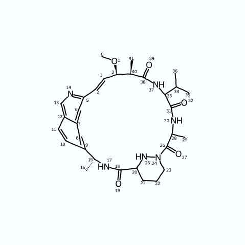 CO[C@@H]1/C=C/c2cc3cc(ccc3cn2)[C@@H](C)NC(=O)C2CCCN(N2)C(=O)C(C)NC(=O)C(C(C)C)NC(=O)[C@@H]1C